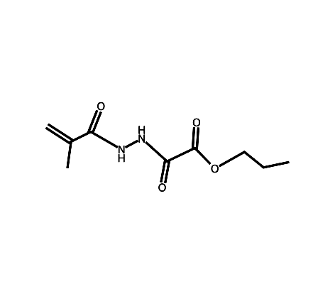 C=C(C)C(=O)NNC(=O)C(=O)OCCC